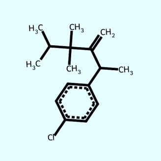 C=C(C(C)c1ccc(Cl)cc1)C(C)(C)C(C)C